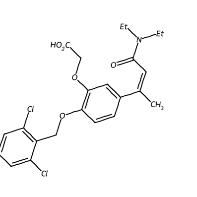 CCN(CC)C(=O)/C=C(/C)c1ccc(OCc2c(Cl)cccc2Cl)c(OCC(=O)O)c1